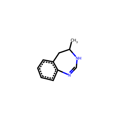 CC1Cc2ccccc2N=CN1